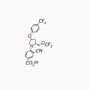 N#Cc1cc(C(=O)O)ccc1N1C[C@@H](Oc2ccc(C(F)(F)F)cc2)C[C@H]1COC(F)(F)F